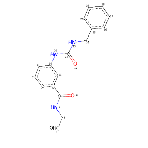 O=[C]CNC(=O)c1cccc(NC(=O)NCc2ccccc2)c1